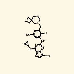 N#Cc1cc(CN2CCCC3(COC3)C2)c(Cl)c(Nc2nc(NC3CC3)c3ncc(C#N)n3n2)c1